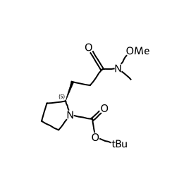 CON(C)C(=O)CC[C@@H]1CCCN1C(=O)OC(C)(C)C